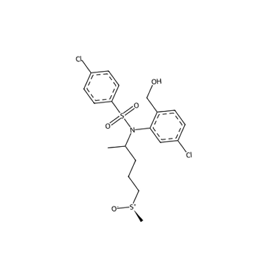 CC(CCC[S@@+](C)[O-])N(c1cc(Cl)ccc1CO)S(=O)(=O)c1ccc(Cl)cc1